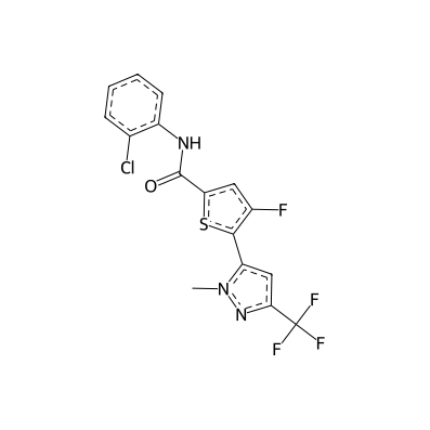 Cn1nc(C(F)(F)F)cc1-c1sc(C(=O)Nc2ccccc2Cl)cc1F